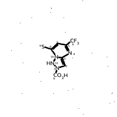 O=C(O)N1C=C2N=C(C(F)(F)F)C=C([S])N2N1